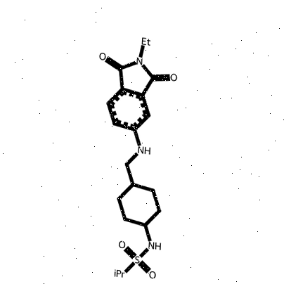 CCN1C(=O)c2ccc(NCC3CCC(NS(=O)(=O)C(C)C)CC3)cc2C1=O